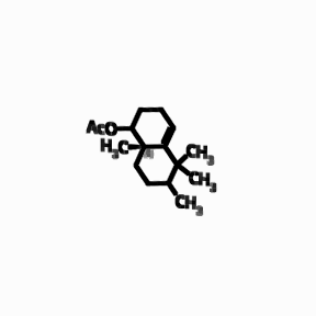 CC(=O)OC1CCC=C2C(C)(C)C(C)CC[C@@]21C